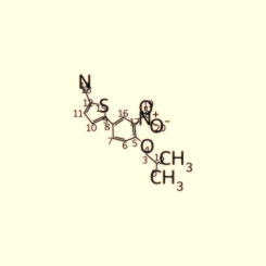 CC(C)COc1ccc(-c2ccc(C#N)s2)cc1[N+](=O)[O-]